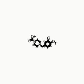 COc1ccc(CN2CCN(C(=O)O)CC2)cc1Cl